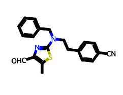 Cc1sc(N(CCc2ccc(C#N)cc2)Cc2ccccc2)nc1C=O